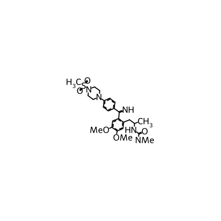 CNC(=O)NC(C)Cc1cc(OC)c(OC)cc1C(=N)c1ccc(N2CCN(S(C)(=O)=O)CC2)cc1